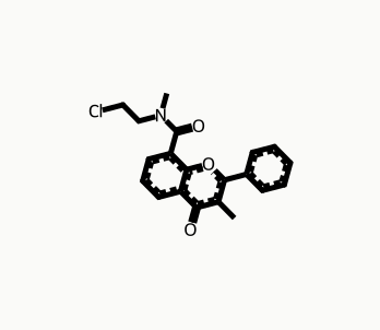 Cc1c(-c2ccccc2)oc2c(C(=O)N(C)CCCl)cccc2c1=O